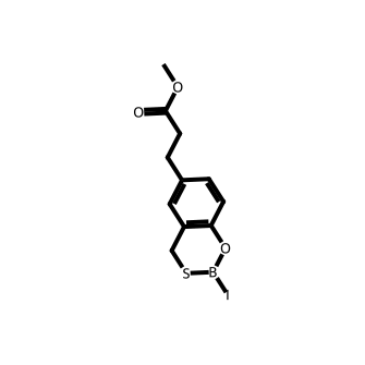 COC(=O)CCc1ccc2c(c1)CSB(I)O2